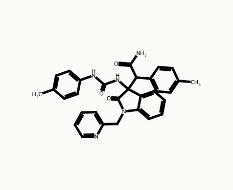 Cc1ccc(NC(=O)NC2(C(C(N)=O)c3ccc(C)cc3)C(=O)N(Cc3ccccn3)c3ccccc32)cc1